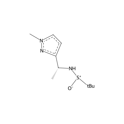 C[C@@H](N[S+]([O-])C(C)(C)C)c1ccn(C)n1